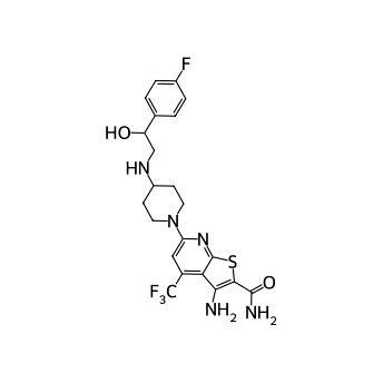 NC(=O)c1sc2nc(N3CCC(NCC(O)c4ccc(F)cc4)CC3)cc(C(F)(F)F)c2c1N